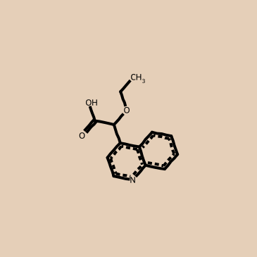 CCOC(C(=O)O)c1ccnc2ccccc12